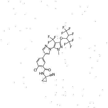 Cn1nc(OC(C(F)C(F)(F)F)C(F)(F)F)c(C(F)(F)F)c1-n1cc(-c2ccc(Cl)c(C(=O)NC3(C#N)CC3)c2)cn1